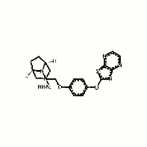 CC(=O)NN1C[C@H]2CC[C@@H](C1)N2CCOc1ccc(Oc2nc3nccnc3s2)cc1